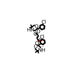 C[C@@H]1NC(C)(C)CO[C@@]1(OC(=O)/C=C/C(=O)O[C@@]1(c2cccc(Cl)c2)OCC(C)(C)N[C@H]1C)c1cccc(Cl)c1